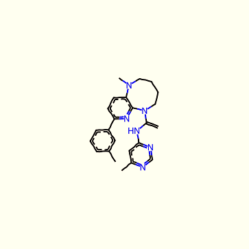 C=C(Nc1cc(C)ncn1)N1CCCCN(C)c2ccc(-c3cccc(C)c3)nc21